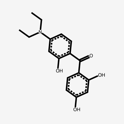 CCN(CC)c1ccc(C(=O)c2ccc(O)cc2O)c(O)c1